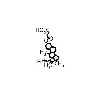 CC(C)CCC[C@@H](C)C1(C)CCC2C3CC=C4CC(OC(=O)CCC(=O)O)CCC4(C)C3CCC21C